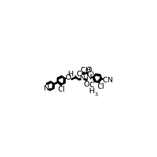 Cc1c(N2C(=O)N(CCCOc3ccc(-c4ccncc4)c(Cl)c3)C(C)(C)C2=O)ccc(C#N)c1Cl